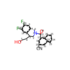 CN(CC(CCO)c1ccc(F)c(F)c1)C(=O)c1cc(C#N)cc2ccccc12